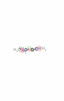 CC(C)(C)OC(=O)N1CCC(COc2ccc(C3CCN(S(C)(=O)=O)CC3)cc2Cl)CC1